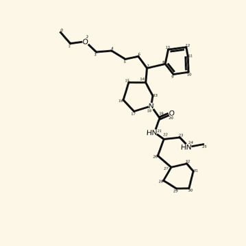 CCOCCCCC(c1ccccc1)C1CCCN(C(=O)NC(CNC)CC2CCCCC2)C1